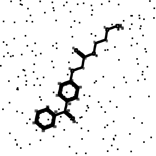 COCCOC(=O)COc1ccc(C(=O)c2ccccc2)cc1